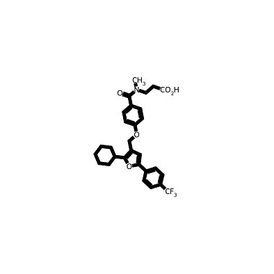 CN(CCC(=O)O)C(=O)c1ccc(OCc2cc(-c3ccc(C(F)(F)F)cc3)oc2C2CCCCC2)cc1